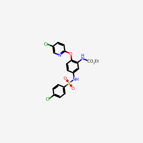 CCOC(=O)Nc1cc(NS(=O)(=O)c2ccc(Cl)cc2)ccc1Oc1ccc(Cl)cn1